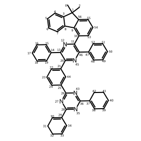 CC1(C)c2ccccc2-c2c(-c3nc(-c4ccccc4)c(-c4cccc(-c5nc(C6=CCCC=C6)nc(C6=CC=CCC6)n5)c4)nc3-c3ccccc3)cccc21